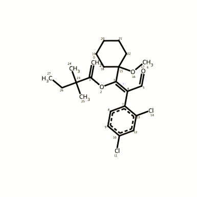 C=C(O/C(=C(/C=O)c1ccc(Cl)cc1Cl)C1(OC)CCCCC1)C(C)(C)CC